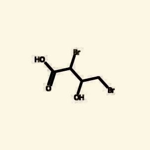 O=C(O)C(Br)C(O)CBr